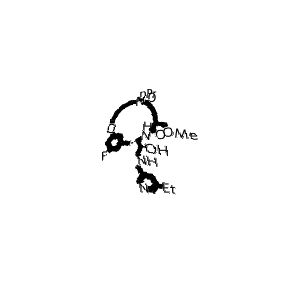 CCCN1CCCCOc2cc(F)cc(c2)C[C@@H]([C@H](O)CNCc2cncc(CC)c2)NC(=O)C(COC)CCC1=O